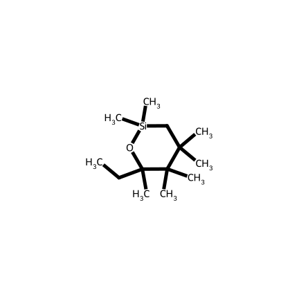 CCC1(C)O[Si](C)(C)CC(C)(C)C1(C)C